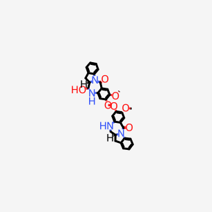 COc1cc2c(cc1OOc1cc3c(cc1OC)C(=O)N1c4ccccc4C[C@H]1C(O)N3)NC[C@@H]1Cc3ccccc3N1C2=O